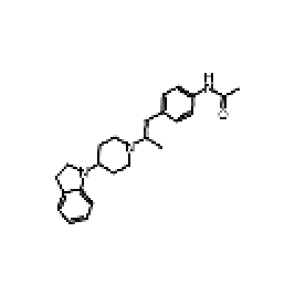 CC(=O)Nc1ccc(CC(C)N2CCC(N3CCc4ccccc43)CC2)cc1